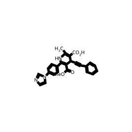 COC(=O)C1=C(c2ccc(-n3ccnc3)cc2)NC(C)=C(C(=O)O)C1C#Cc1ccccc1